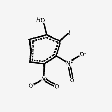 O=[N+]([O-])c1ccc(O)c(I)c1[N+](=O)[O-]